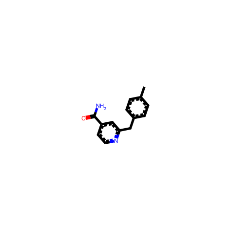 Cc1ccc(Cc2cc(C(N)=O)ccn2)cc1